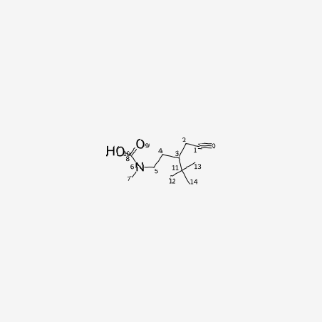 C#CCC(CCN(C)C(=O)O)C(C)(C)C